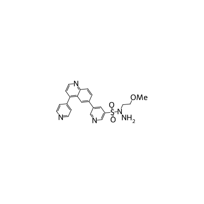 COCCN(N)S(=O)(=O)c1cncc(-c2ccc3nccc(-c4ccncc4)c3c2)c1